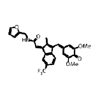 COC1=CC(=CC2=C(C)/C(=C\C(=O)NCc3ccco3)c3cc(C(F)(F)F)ccc32)C=C(OC)C1=O